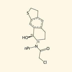 CCCN(C(=O)CCl)[C@H]1CCc2cc3c(cc2[C@@H]1O)SCC3